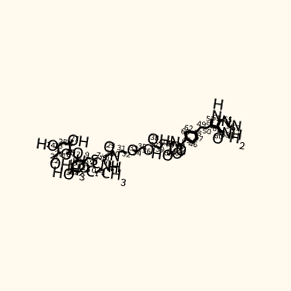 CCC(C)(C)N[C@H](CSCC1OCC(O)C[C@@H]1O[C@@H]1OC(CO)C(O)CC1O)C(=O)NCCOCCOC(=O)CC[C@H](NC(=O)c1ccc(CCc2c[nH]c3nc(N)[nH]c(=O)c23)cc1)C(=O)O